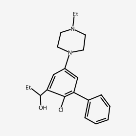 CCC(O)c1cc(N2CCN(CC)CC2)cc(-c2ccccc2)c1Cl